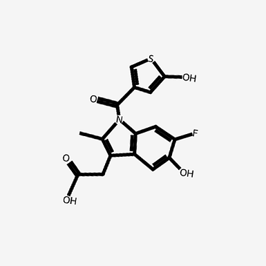 Cc1c(CC(=O)O)c2cc(O)c(F)cc2n1C(=O)c1csc(O)c1